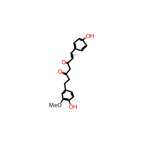 COc1cc(CCC(=O)CC(=O)/C=C/c2ccc(O)cc2)ccc1O